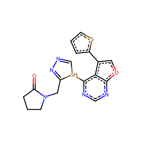 O=C1CCCN1CC1=NN=C[SH]1c1ncnc2occ(-c3cccs3)c12